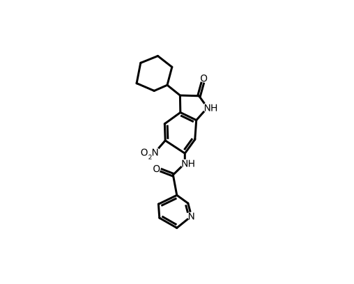 O=C(Nc1cc2c(cc1[N+](=O)[O-])C(C1CCCCC1)C(=O)N2)c1cccnc1